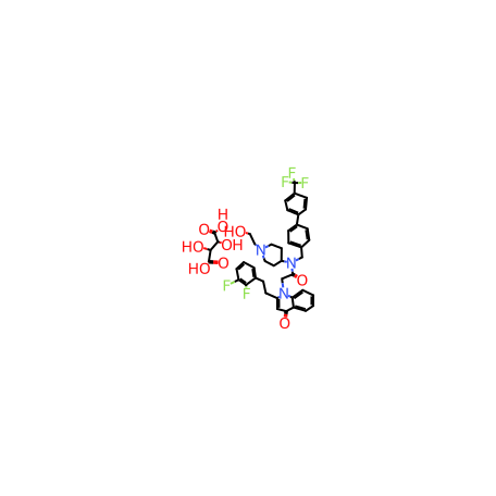 O=C(Cn1c(CCc2cccc(F)c2F)cc(=O)c2ccccc21)N(Cc1ccc(-c2ccc(C(F)(F)F)cc2)cc1)C1CCN(CCO)CC1.O=C(O)C(O)C(O)C(=O)O